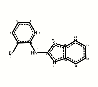 Brc1cccnc1Nc1nc2cccnc2s1